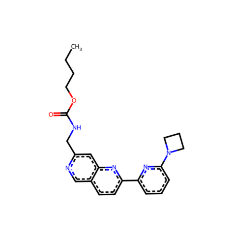 CCCCOC(=O)NCc1cc2nc(-c3cccc(N4CCC4)n3)ccc2cn1